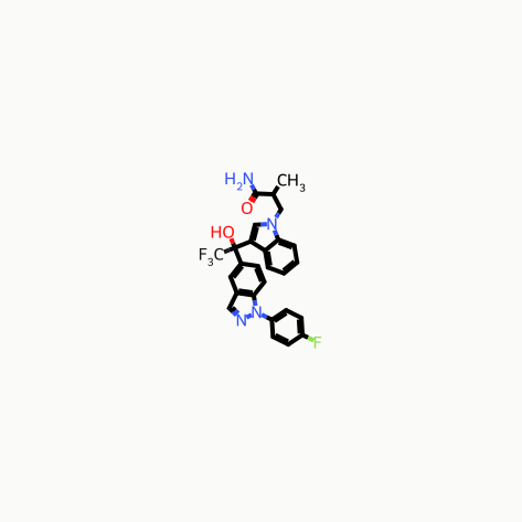 CC(Cn1cc(C(O)(c2ccc3c(cnn3-c3ccc(F)cc3)c2)C(F)(F)F)c2ccccc21)C(N)=O